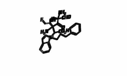 CC(C)[C@@](N)(C=O)C(=O)C(N)(C(O)CF)C(C(=O)O)[N+]1(CCCc2ccccc2)C=Cc2ccccc21